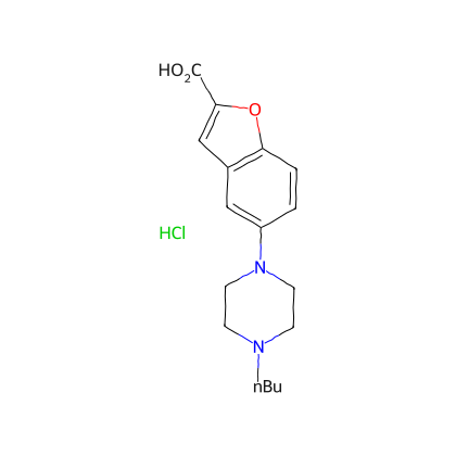 CCCCN1CCN(c2ccc3oc(C(=O)O)cc3c2)CC1.Cl